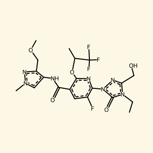 CCn1c(CO)nn(-c2nc(OC(C)C(F)(F)F)c(C(=O)Nc3cn(C)nc3COC)cc2F)c1=O